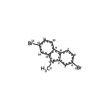 Cn1c2cc(Br)ccc2c2ccc(Br)cc21